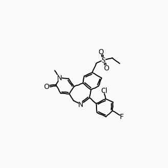 CCS(=O)(=O)Cc1ccc2c(c1)-c1cn(C)c(=O)cc1CN=C2c1ccc(F)cc1Cl